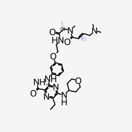 CCc1nc(C(N)=O)c(Nc2cccc(OCCNC(=O)[C@H](C)N(C)C(=O)/C=C/CN(C)C)c2)nc1NC1CCOCC1